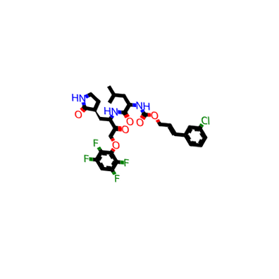 CC(C)CC(NC(=O)OC/C=C/c1cccc(Cl)c1)C(=O)NC(C[C@@H]1CCNC1=O)C(=O)COc1c(F)c(F)cc(F)c1F